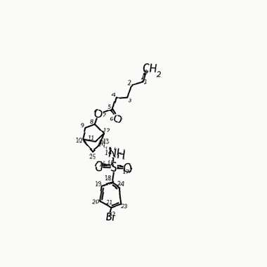 C=CCCCC(=O)OC1CC2CC1[C@H](NS(=O)(=O)c1ccc(Br)cc1)C2